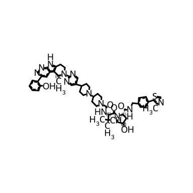 Cc1ncsc1-c1ccc(CNC(=O)[C@@H]2C[C@@H](O)CN2C(=O)[C@@H](NC(=O)N2CCC(N3CCC(c4cnc(N5CCc6[nH]c7nnc(-c8ccccc8O)cc7c6[C@H]5C)nc4)CC3)CC2)C(C)(C)C)cc1